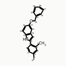 Cc1cc(F)ccc1-c1cc2cc(OCc3ccccc3)ccc2[nH]1